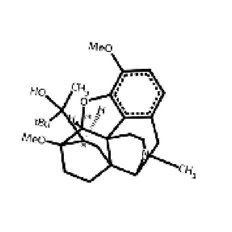 COc1ccc2c3c1O[C@H]1C4(OC)CCC5(C[C@@H]4C(C)(O)C(C)(C)C)C(C2)N(C)CCC315